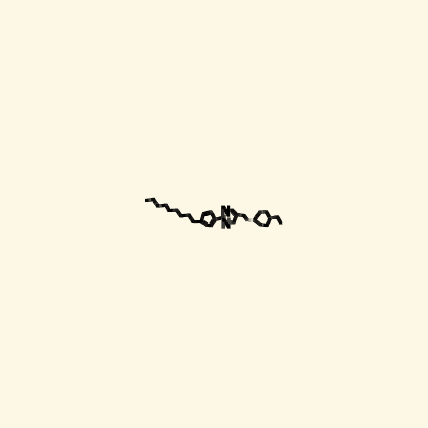 CCCCCCCCCc1ccc(-c2ncc(CC[C@H]3CC[C@H](CC)CC3)cn2)cc1